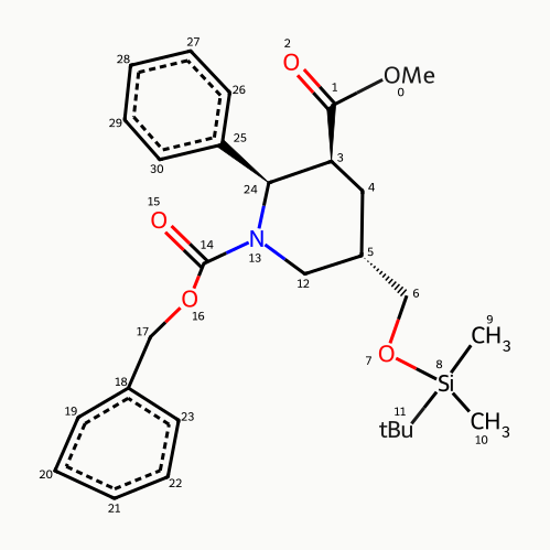 COC(=O)[C@H]1C[C@H](CO[Si](C)(C)C(C)(C)C)CN(C(=O)OCc2ccccc2)[C@H]1c1ccccc1